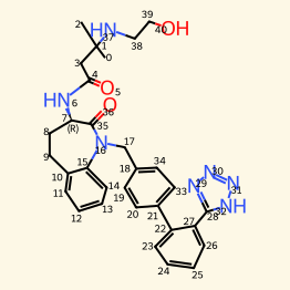 CC(C)(CC(=O)N[C@@H]1CCc2ccccc2N(Cc2ccc(-c3ccccc3-c3nnn[nH]3)cc2)C1=O)NCCO